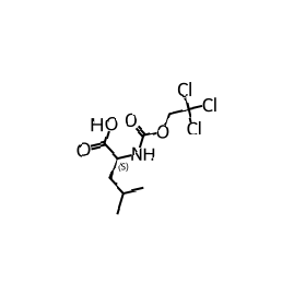 CC(C)C[C@H](NC(=O)OCC(Cl)(Cl)Cl)C(=O)O